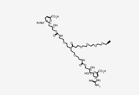 C#CCOCCOCCOCCOCCC(=O)N(CCOCCNC(=O)OC[C@@H](O)C[C@@H]1OC(C(=O)O)=CC[C@H]1NC(C)=O)CCOCCNC(=O)OC[C@@H](O)[C@@H](O)C1C[C@@H](NC(=N)N)C=C(C(=O)O)O1